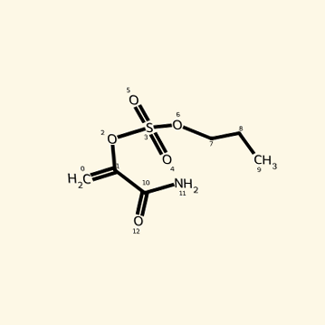 C=C(OS(=O)(=O)OCCC)C(N)=O